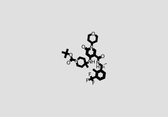 Cc1c([C@@H](C)NC(=O)c2cn(C3CCOCC3)c(=O)cc2NC2(C)CCN(C(=O)OC(C)(C)C)CC2)cccc1C(F)(F)F